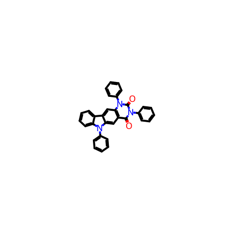 O=c1c2cc3c(cc2n(-c2ccccc2)c(=O)n1-c1ccccc1)c1ccccc1n3-c1ccccc1